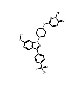 CCNc1cc2c(cn1)c(-c1ccc(S(C)(=O)=O)cc1)nn2[C@H]1CC[C@@H](Oc2ccc(=O)n(C)n2)CC1